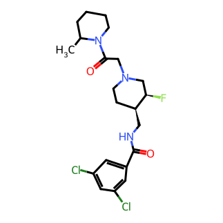 CC1CCCCN1C(=O)CN1CC[C@H](CNC(=O)c2cc(Cl)cc(Cl)c2)[C@H](F)C1